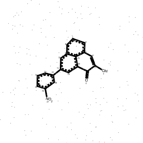 O=C1C(O)=Cc2cccc3cc(-c4cccc([N+](=O)[O-])c4)cc1c23